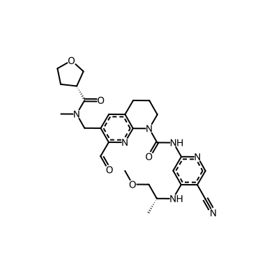 COC[C@@H](C)Nc1cc(NC(=O)N2CCCc3cc(CN(C)C(=O)[C@@H]4CCOC4)c(C=O)nc32)ncc1C#N